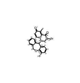 Cc1c2n(ccc1=O)N(C1c3ccccc3COc3c(F)cccc31)CN(C(C)C)C2=O